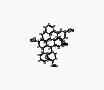 CC(C)(C)c1ccc(N(c2ccc(C(C)(C)C)cc2-c2ccccc2)c2ccccc2-c2cccc3cccc(-c4cc(C(C)(C)C)cc(C(C)(C)C)c4)c23)cc1